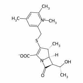 Cc1cc(C)[n+](C)c(CSC2=C(C(=O)[O-])N3C(=O)[C@H]([C@@H](C)O)[C@@H]3[C@H]2C)c1